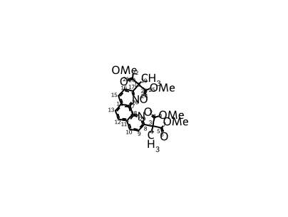 COC(=O)C(C)(C(=O)OC)c1ccc2ccc3ccc(C(C)(C(=O)OC)C(=O)OC)nc3c2n1